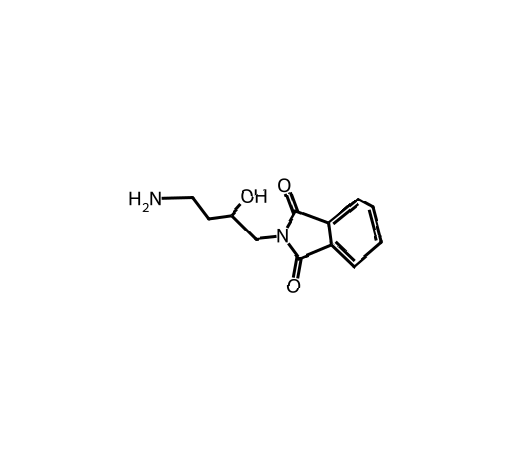 NCCC(O)CN1C(=O)c2ccccc2C1=O